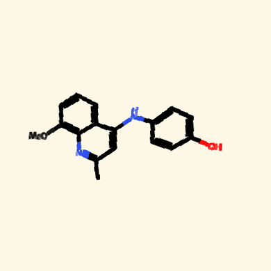 COc1cccc2c(Nc3ccc(O)cc3)cc(C)nc12